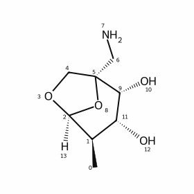 C[C@H]1[C@H]2OC[C@](CN)(O2)[C@H](O)[C@@H]1O